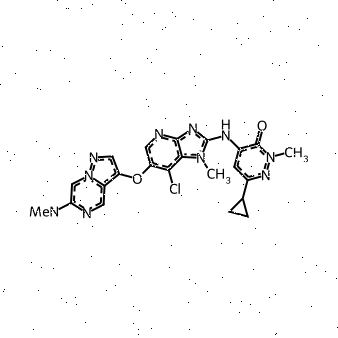 CNc1cn2ncc(Oc3cnc4nc(Nc5cc(C6CC6)nn(C)c5=O)n(C)c4c3Cl)c2cn1